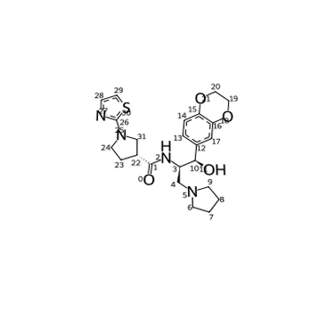 O=C(N[C@H](CN1CCCC1)[C@H](O)c1ccc2c(c1)OCCO2)[C@@H]1CCN(c2nccs2)C1